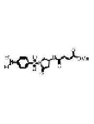 CCN(CC)c1ccc(S(=O)(=O)N2CC(OC(=O)CCC(=O)OC)CC2=O)cc1